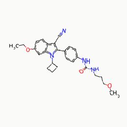 CCOc1ccc2c(C#N)c(-c3ccc(NC(=O)NCCCOC)cc3)n(C3CCC3)c2c1